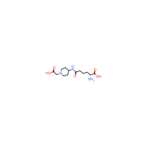 N[C@H](CCCC(=O)NC1CCN(CC(=O)O)CC1)C(=O)O